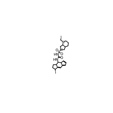 O=C(NC1C2C=CC=C2C=C2C(I)CCC21)NS(=O)(=O)N1CC2CCCN(CI)C2C1